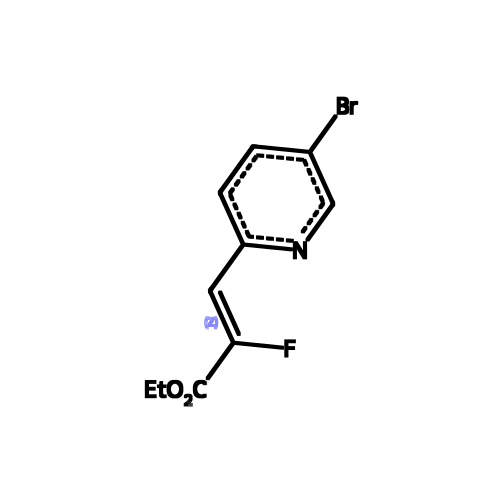 CCOC(=O)/C(F)=C/c1ccc(Br)cn1